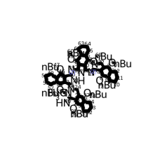 CCCCOc1c2c(c(OCCCC)c3ccccc13)/C(=N/c1[nH]c(/N=C3\N=C(N4Cc5c(c(OCCCC)c6ccccc6c5OCCCC)C(=N)N4C)c4c3c(OCCCC)c3ccccc3c4OCCCC)c3c(OCCCC)c4ccccc4c(OCCCC)c13)N=C2